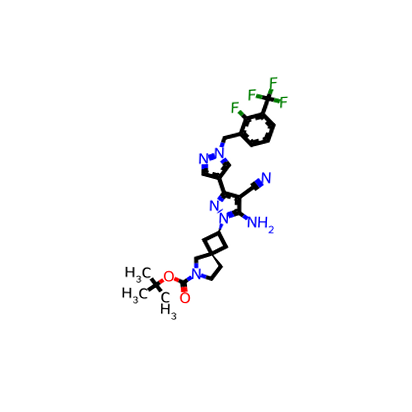 CC(C)(C)OC(=O)N1CC[C@]2(C1)C[C@H](n1nc(-c3cnn(Cc4cccc(C(F)(F)F)c4F)c3)c(C#N)c1N)C2